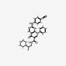 CC(CNC(=O)c1cn(-c2ccccc2)c2nc(Nc3ccc(C#N)cc3)ncc2c1=O)N1CCOCC1